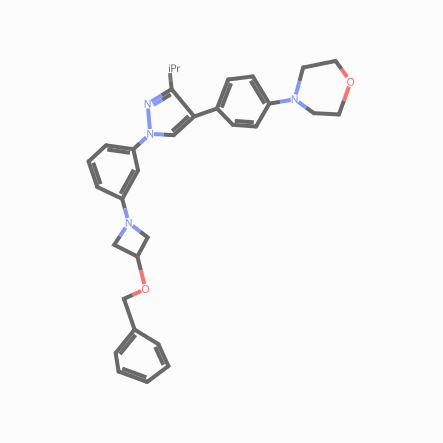 CC(C)c1nn(-c2cccc(N3CC(OCc4ccccc4)C3)c2)cc1-c1ccc(N2CCOCC2)cc1